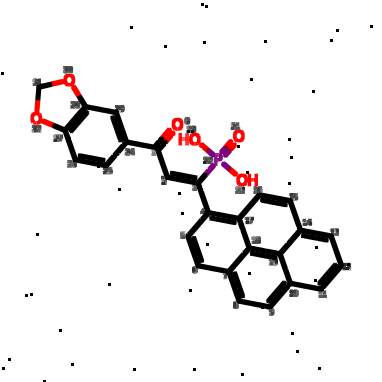 O=C(/[C]=C(/c1ccc2ccc3cccc4ccc1c2c34)P(=O)(O)O)c1ccc2c(c1)OCO2